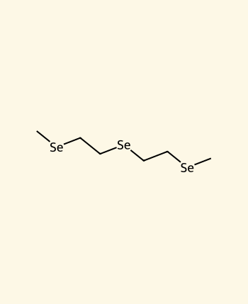 C[Se]CC[Se]CC[Se]C